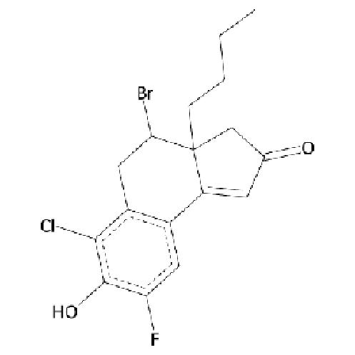 CCCCC12CC(=O)C=C1c1cc(F)c(O)c(Cl)c1CC2Br